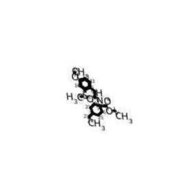 CCOC(=O)C1(NC(=O)Cc2ccc(OC)cc2SC)CCC(CC)CC1